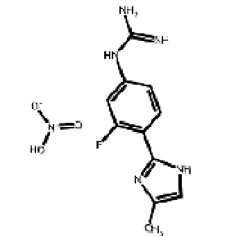 Cc1c[nH]c(-c2ccc(NC(=N)N)cc2F)n1.O=[N+]([O-])O